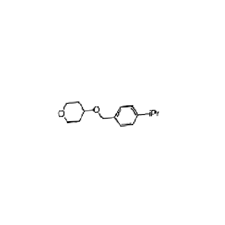 CC(C)c1ccc(COC2CCOCC2)cc1